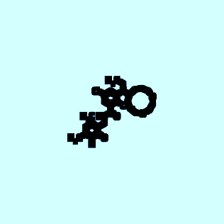 CCN(c1cc(Cl)cc(C(=O)NCc2c(C)cc(C)[nH]c2=O)c1C)C1CCCOCCOCCC1